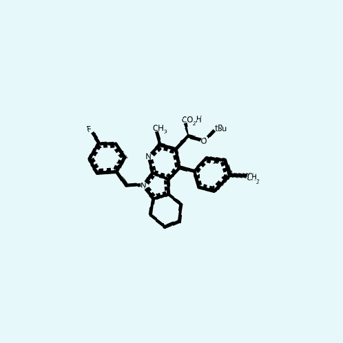 Cc1ccc(-c2c([C@H](OC(C)(C)C)C(=O)O)c(C)nc3c2c2c(n3Cc3ccc(F)cc3)CCCC2)cc1